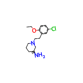 CCOc1ccc(Cl)cc1CCN1CCC[C@H](N)C1